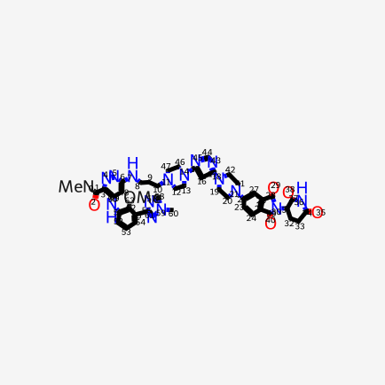 CNC(=O)c1nnc(NCCCN2CCN(c3cc(N4CCN(c5ccc6c(c5)C(=O)N(C5CCC(=O)NC5=O)C6=O)CC4)ncn3)CC2)cc1Nc1cccc(-c2ncn(C)n2)c1OC